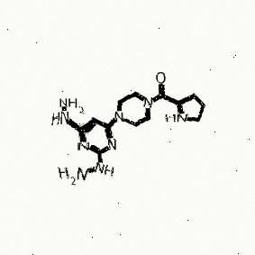 NNc1cc(N2CCN(C(=O)C3CCCN3)CC2)nc(NN)n1